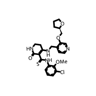 COc1c(Cl)cccc1NC(=S)C1=C(NCc2ccncc2OC[C@H]2CCCO2)CCNC1=O